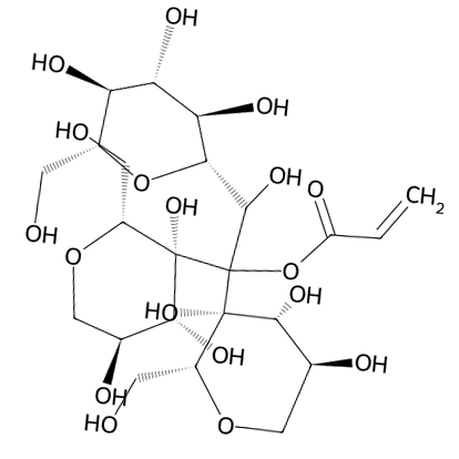 C=CC(=O)OC(C(O)[C@@H]1O[C@H](CO)[C@@H](O)[C@H](O)[C@H]1O)([C@@]1(O)[C@H](O)[C@@H](O)CO[C@@H]1CO)[C@@]1(O)[C@H](O)[C@@H](O)CO[C@@H]1CO